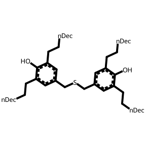 CCCCCCCCCCCCc1cc(CSCc2cc(CCCCCCCCCCCC)c(O)c(CCCCCCCCCCCC)c2)cc(CCCCCCCCCCCC)c1O